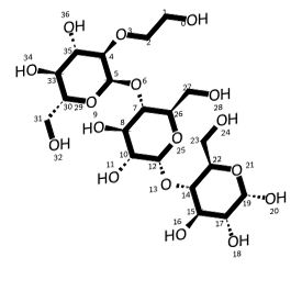 OCCO[C@H]1[C@@H](O[C@H]2[C@H](O)[C@@H](O)[C@@H](O[C@H]3[C@H](O)[C@@H](O)[C@@H](O)O[C@@H]3CO)O[C@@H]2CO)O[C@H](CO)[C@@H](O)[C@@H]1O